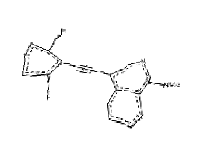 CNc1ncc(C#Cc2c(F)cccc2F)c2ccccc12